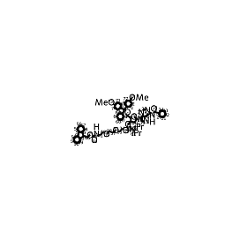 COc1ccc(C(OCC2OC(n3cnc4c(NC(=O)c5ccccc5)ncnc43)CC2OP(OCCOCCOCCNC(=O)OCC2c3ccccc3-c3ccccc32)N(C(C)C)C(C)C)(c2ccccc2)c2ccc(OC)cc2)cc1